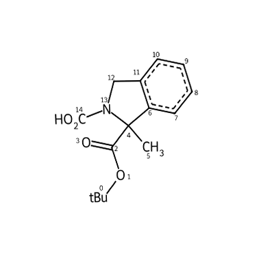 CC(C)(C)OC(=O)C1(C)c2ccccc2CN1C(=O)O